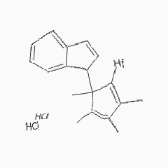 CC1=C(C)C(C)(C2C=Cc3ccccc32)[C]([Hf])=C1C.Cl.Cl